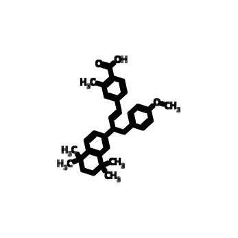 COc1ccc(CC(C=Cc2ccc(C(=O)O)c(C)c2)c2ccc3c(c2)C(C)(C)CCC3(C)C)cc1